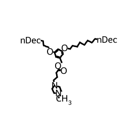 CCCCCCCCCCCCCCCCCCOc1cc(COC(=O)CCCN2CCN(C)CC2)cc(OCCCCCCCCCCCCC)c1